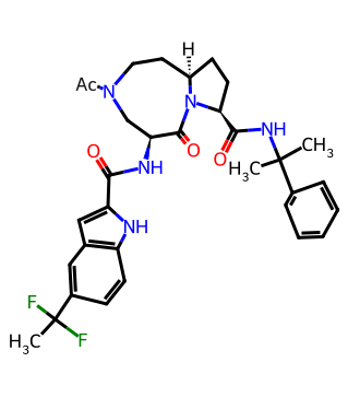 CC(=O)N1CC[C@H]2CC[C@@H](C(=O)NC(C)(C)c3ccccc3)N2C(=O)[C@@H](NC(=O)c2cc3cc(C(C)(F)F)ccc3[nH]2)C1